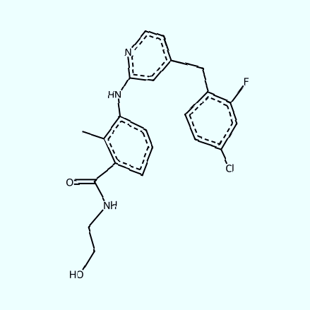 Cc1c(Nc2cc(Cc3ccc(Cl)cc3F)ccn2)cccc1C(=O)NCCO